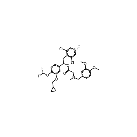 COc1ccc(CN(C)CC(=O)OC(Cc2c(Cl)c[n+]([O-])cc2Cl)c2ccc(OC(F)F)c(OCC3CC3)c2)cc1OC